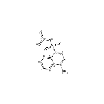 Nc1ccc(S(=O)(=O)N=S(=O)=O)c2ccccc12